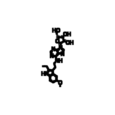 CCc1[nH]c2ccc(OC)cc2c1CCNc1ncnc2c1ncn2[C@@H]1O[C@H](CO)[C@@H](O)[C@H]1O